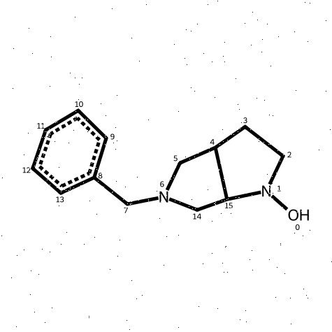 ON1CCC2CN(Cc3ccccc3)CC21